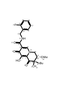 CCCC[C@@]1(C)C(=O)c2c(O)c(=O)c(C(=O)NCc3ccccc3F)cn2C[C@@H]1OC